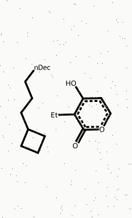 CCCCCCCCCCCCCC1CCC1.CCc1c(O)ccoc1=O